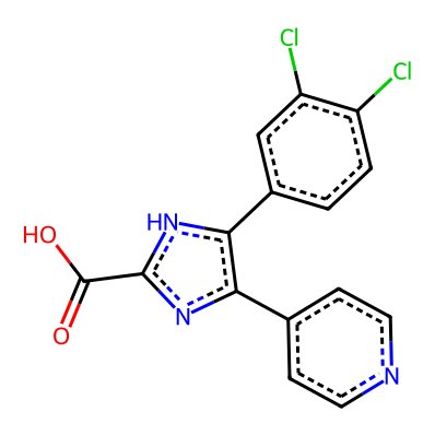 O=C(O)c1nc(-c2ccncc2)c(-c2ccc(Cl)c(Cl)c2)[nH]1